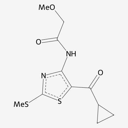 COCC(=O)Nc1nc(SC)sc1C(=O)C1CC1